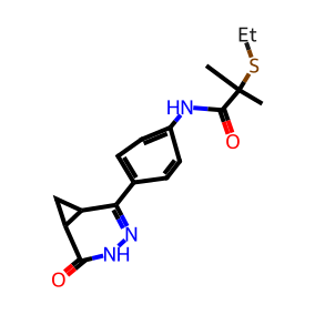 CCSC(C)(C)C(=O)Nc1ccc(C2=NNC(=O)C3CC23)cc1